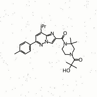 Cc1ccc(-c2cc(C(C)C)c3nc(C(=O)N4CCN(C(=O)C(C)(C)O)CC4(C)C)cn3n2)cc1